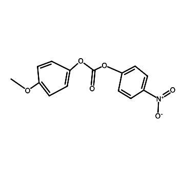 COc1ccc(OC(=O)Oc2ccc([N+](=O)[O-])cc2)cc1